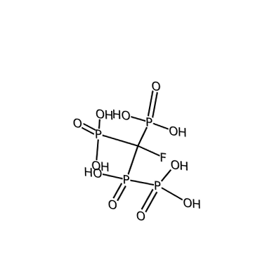 O=P(O)(O)C(F)(P(=O)(O)O)P(=O)(O)P(=O)(O)O